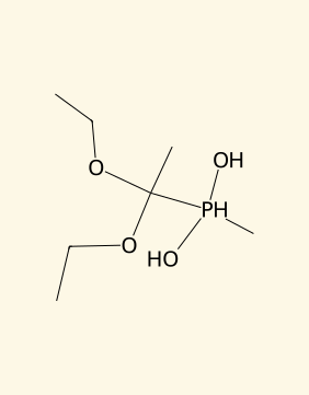 CCOC(C)(OCC)[PH](C)(O)O